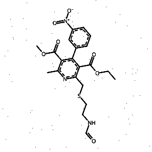 CCOC(=O)c1c(CSCCNC=O)nc(C)c(C(=O)OC)c1-c1cccc([N+](=O)[O-])c1